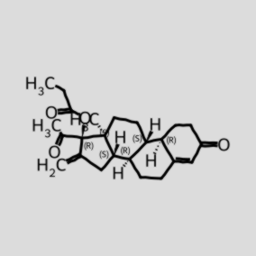 C=C1C[C@H]2[C@@H]3CCC4=CC(=O)CC[C@@H]4[C@H]3CC[C@]2(C)[C@@]1(OC(=O)CC)C(C)=O